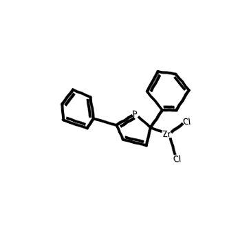 [Cl][Zr]([Cl])[C]1(c2ccccc2)C=CC(c2ccccc2)=P1